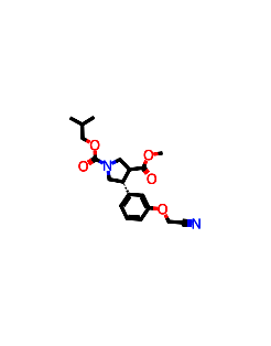 COC(=O)C1CN(C(=O)OCC(C)C)C[C@H]1c1cccc(OCC#N)c1